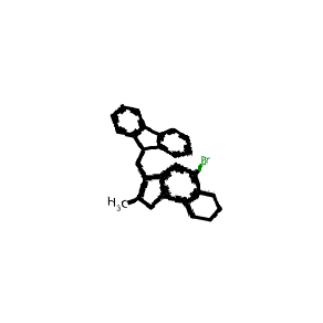 CC1=C(CC2c3ccccc3-c3ccccc32)c2cc(Br)c3c(c2C1)CCCC3